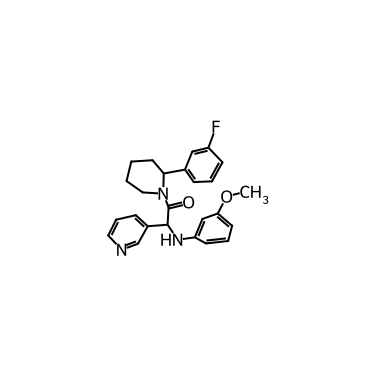 COc1cccc(NC(C(=O)N2CCCCC2c2cccc(F)c2)c2cccnc2)c1